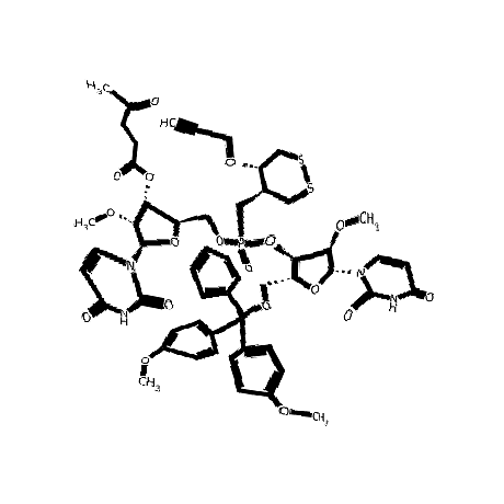 C#CCO[C@@H]1CSSC[C@H]1CP(=O)(OC[C@H]1O[C@@H](n2ccc(=O)[nH]c2=O)[C@H](OC)[C@@H]1OC(=O)CCC(C)=O)O[C@H]1[C@@H](OC)[C@H](n2ccc(=O)[nH]c2=O)O[C@@H]1COC(c1ccccc1)(c1ccc(OC)cc1)c1ccc(OC)cc1